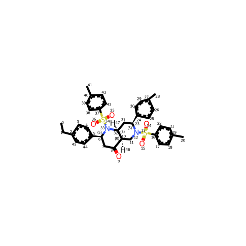 CCc1ccc([C@@H]2CC(=O)[C@@H]3CN(S(=O)(=O)c4ccc(C)cc4)[C@H](c4ccc(C)cc4)C[C@@H]3N2S(=O)(=O)c2ccc(C)cc2)cc1